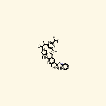 Cc1nc2c(cc1C(=N)/N=c1/cccc[nH]1)CC[C@@]1(CCN(C(=O)[C@@H](C)c3cc(O)nc(C(F)F)n3)C1)N2